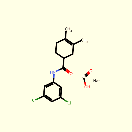 CC1=C(C)CC(C(=O)Nc2cc(Cl)cc(Cl)c2)CC1.O=[C-]O.[Na+]